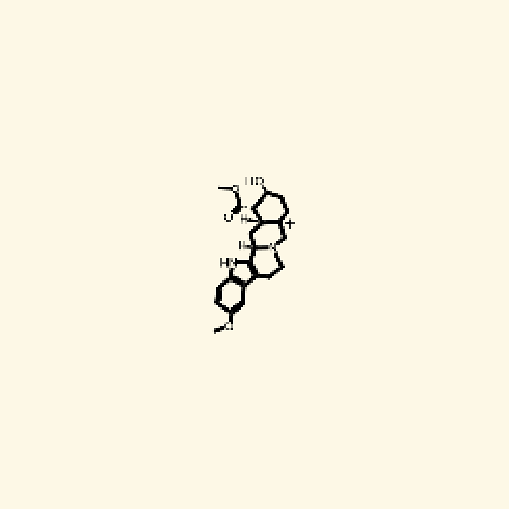 COC(=O)[C@H]1[C@H]2C[C@H]3c4[nH]c5ccc(OC)cc5c4CCN3C[C@@H]2CC[C@@H]1O